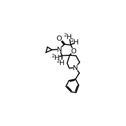 [2H]C1([2H])OC2(CCN(Cc3ccccc3)CC2)C([2H])([2H])N(C2CC2)C1=O